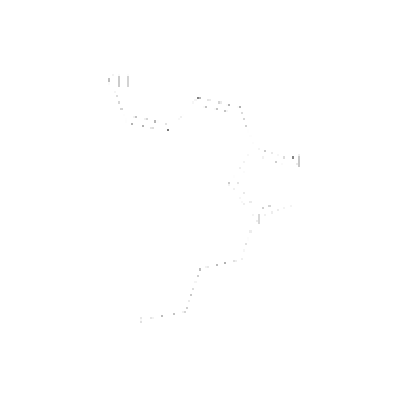 C/C=C\C=C/c1cn(CCCC)cn1